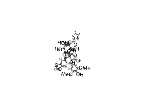 [2H]C1([2H])O[C@@H](c2cccs2)O[C@H]2[C@H](O)[C@@H](O)[C@H](O[C@@H]3c4cc5c(cc4[C@@H](c4cc(OC)c(O)c(OC)c4)[C@H]4C(=O)OC[C@@H]43)OCO5)O[C@@H]21